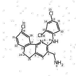 NCc1cc2c(nc1Nc1ccc(Cl)cc1Cl)-c1cc(Cl)ccc1SC2